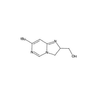 CC(C)(C)C1=CC2=NC(CO)CN2C=N1